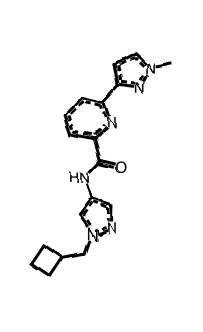 Cn1ccc(-c2cccc(C(=O)Nc3cnn(CC4CCC4)c3)n2)n1